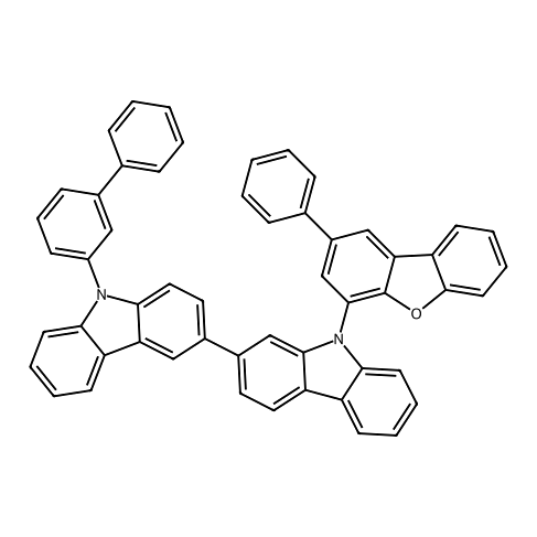 c1ccc(-c2cccc(-n3c4ccccc4c4cc(-c5ccc6c7ccccc7n(-c7cc(-c8ccccc8)cc8c7oc7ccccc78)c6c5)ccc43)c2)cc1